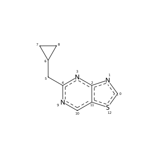 [c]1nc2nc(CC3CC3)ncc2s1